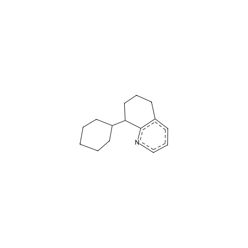 c1cnc2c(c1)CCCC2C1CCCCC1